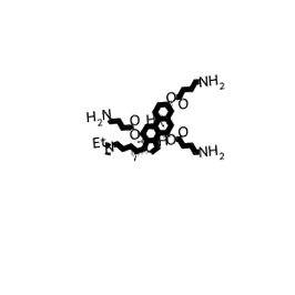 CCN(C)CCC[C@@H](C)[C@H]1CC[C@H]2C3[C@H](OC(=O)CCCN)CC4C[C@H](OC(=O)CCCN)CC[C@]4(C)[C@H]3C[C@H](OC(=O)CCCN)[C@]12C